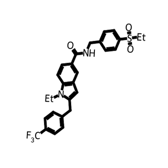 CCn1c(Cc2ccc(C(F)(F)F)cc2)cc2cc(C(=O)NCc3ccc(S(=O)(=O)CC)cc3)ccc21